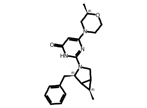 C[C@@H]1C2CN(c3nc(N4CCO[C@H](C)C4)cc(=O)[nH]3)[C@H](Cc3ccccc3)C21